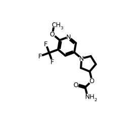 COc1ncc(N2CCC(OC(N)=O)C2)cc1C(F)(F)F